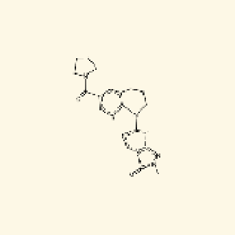 Cn1nc2cc(N3CCCc4cc(C(=O)N5CCCC5)cnc43)ccn2c1=O